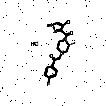 C[C@@H]1CN(CC(=O)c2ccc(F)cc2)CCN1C(=O)c1nn(C)cc1Cl.Cl